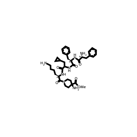 COC(=O)C1(N)CCN(C(=O)[C@@H](CCCCN)NC(=O)C(CC2CC2)NC(=O)[C@@H](Cc2ccccc2)NC(=O)[C@H](N)Cc2ccccc2)CC1